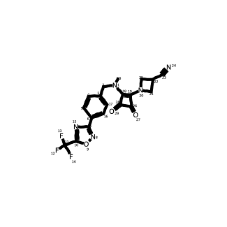 CN(Cc1ccc(-c2noc(C(F)(F)F)n2)cc1)c1c(N2CC(C#N)C2)c(=O)c1=O